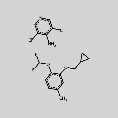 Cc1ccc(OC(F)F)c(OCC2CC2)c1.Nc1c(Cl)cncc1Cl